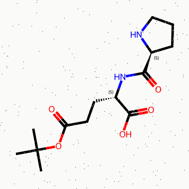 CC(C)(C)OC(=O)CC[C@H](NC(=O)[C@@H]1CCCN1)C(=O)O